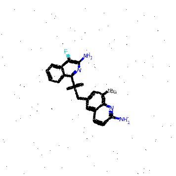 CC(C)(C)c1cc(CC(C)(C)c2nc(N)c(F)c3ccccc23)cc2ccc(N)nc12